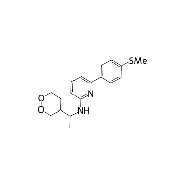 CSc1ccc(-c2cccc(NC(C)C3CCOOC3)n2)cc1